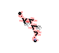 CC(C)CC1OC(COCC2OC(COC(=O)ON3C(=O)CCC3=O)C(O)C(O)C2O)C(O)C(COCC2OC(CO)C(O)C(COCC3OC(COC(=O)OC4C(=O)CCC4=O)C(O)C(CC(C)C)C3O)C2O)C1O